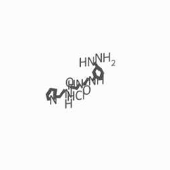 Cl.N=C(N)c1cccc(NCC(=O)NCC(=O)NCCc2ccccn2)c1